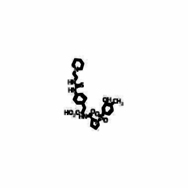 Cc1ccc(S(=O)(=O)N2CCC[C@H]2C(=O)N[C@@H](Cc2ccc(NC(=S)NCCN3CCCCC3)cc2)C(=O)O)cc1O